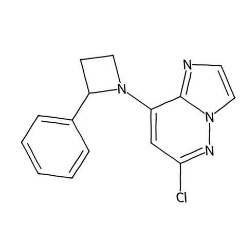 Clc1cc(N2CCC2c2ccccc2)c2nccn2n1